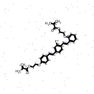 C=C(C)C(=O)OCCOc1ccc(/C=C/c2ccc(/C=C/c3ccccc3OCCOC(=O)C(=C)C)c(F)c2)cc1